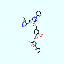 CCn1cncc1/C=C/c1cn(-c2ccccc2)nc1OCc1ccc(OCc2nc(-c3ccco3)oc2C)c(OC)c1